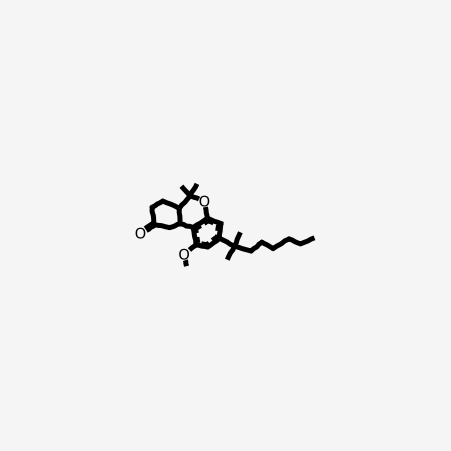 CCCCCCC(C)(C)c1cc(OC)c2c(c1)OC(C)(C)C1CCC(=O)CC21